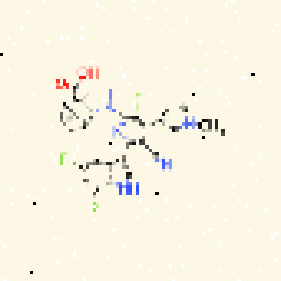 Cn1ccc(-c2c(F)c(NC3C4CCC(CC4)[C@H]3C(=O)O)nc(-c3c[nH]c4c(F)cc(F)cc34)c2C#N)c1